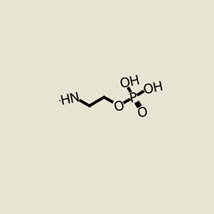 [NH]CCOP(=O)(O)O